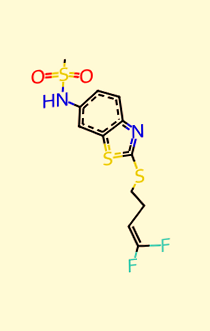 CS(=O)(=O)Nc1ccc2nc(SCCC=C(F)F)sc2c1